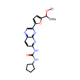 CCOC(OC)c1ccc(-c2cnc3ccc(NC(=O)NC4CCCC4)nc3n2)o1